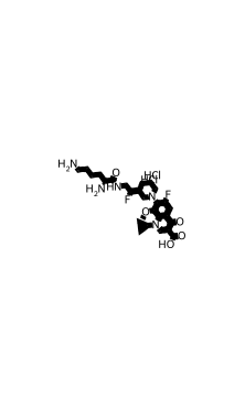 COc1c(N2CCCC(=C(F)CNC(=O)[C@@H](N)CCCCN)C2)c(F)cc2c(=O)c(C(=O)O)cn(C3CC3)c12.Cl.Cl